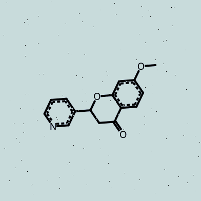 COc1ccc2c(c1)OC(c1cccnc1)CC2=O